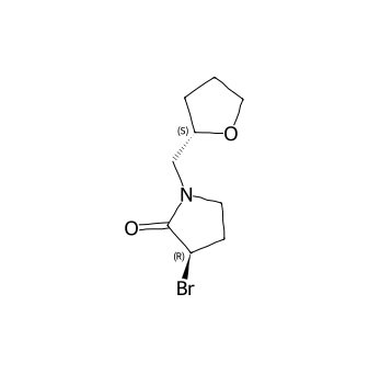 O=C1[C@H](Br)CCN1C[C@@H]1CCCO1